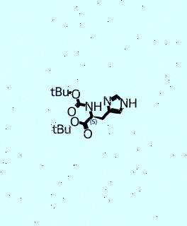 CC(C)(C)OC(=O)N[C@@H](Cc1c[nH]cn1)C(=O)OC(C)(C)C